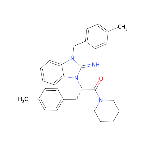 Cc1ccc(C[C@@H](C(=O)N2CCCCC2)n2c(=N)n(Cc3ccc(C)cc3)c3ccccc32)cc1